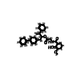 COc1ccnc(C(=O)NCC(=O)OC(Cc2ccc(-c3ccccc3)cc2)C(C)c2ccccc2)c1O